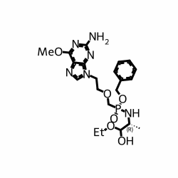 CCOC(O)[C@@H](C)NP(=O)(COCCn1cnc2c(OC)nc(N)nc21)OCc1ccccc1